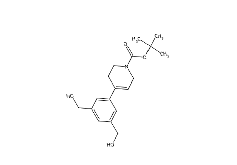 CC(C)(C)OC(=O)N1CC=C(c2cc(CO)cc(CO)c2)CC1